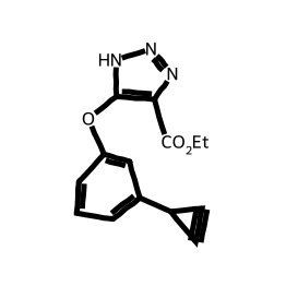 CCOC(=O)c1nn[nH]c1Oc1cccc(C2C#C2)c1